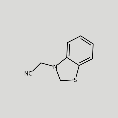 N#CCN1CSc2ccccc21